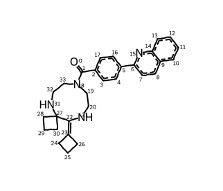 O=C(c1ccc(-c2ccc3ccccc3n2)cc1)N1CCNC(=C2CCC2)C2(CCC2)NCC1